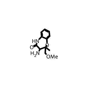 COCC1(C)Oc2ccccc2NC(=O)C1N